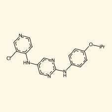 CC(C)Oc1ccc(Nc2ncc(Nc3ccncc3Cl)cn2)cc1